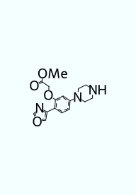 COC(=O)COc1cc(N2CCNCC2)ccc1-c1cocn1